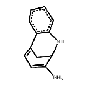 NC1=CC=C2CC1Nc1ccccc12